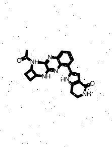 CC(=O)NC1CCC1Nc1nc2c(-c3cc4c([nH]3)CCNC4=O)cccc2nc1C